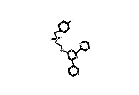 O=S(=O)(CCNc1cc(-c2cccnc2)nc(-c2ccccn2)n1)Cc1ccc(Cl)cc1